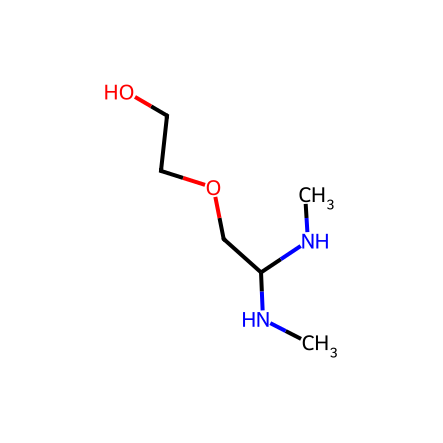 CNC(COCCO)NC